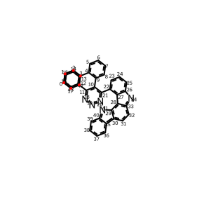 c1ccc(-c2ccccc2-c2c(-c3ccccc3)nnnc2-c2cccc3c2-c2c4c(ccc2=N3)=c2ccccc2=N4)cc1